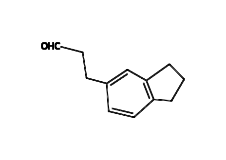 O=CCCc1ccc2c(c1)CCC2